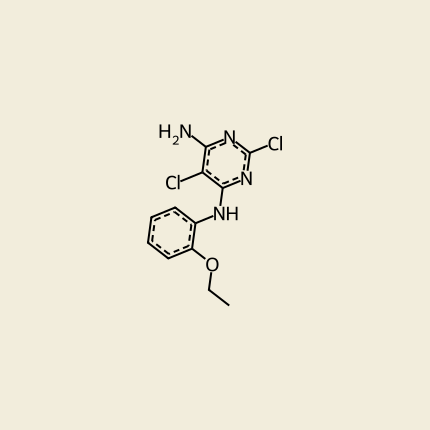 CCOc1ccccc1Nc1nc(Cl)nc(N)c1Cl